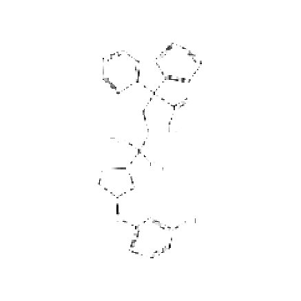 Cc1cccc(O[C@H]2CCN(C(C)(C)CCC(C(N)=O)(c3ccccc3)c3ccccc3)C2)c1